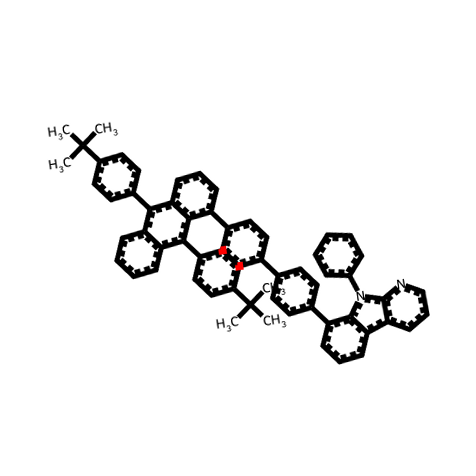 CC(C)(C)c1ccc(-c2c3ccccc3c(-c3ccc(C(C)(C)C)cc3)c3c(-c4ccc(-c5ccc(-c6cccc7c8cccnc8n(-c8ccccc8)c67)cc5)cc4)cccc23)cc1